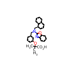 CC(C)(Oc1cccc(CN(Cc2cccc3ccccc23)c2nc3ccccc3o2)c1)C(=O)O